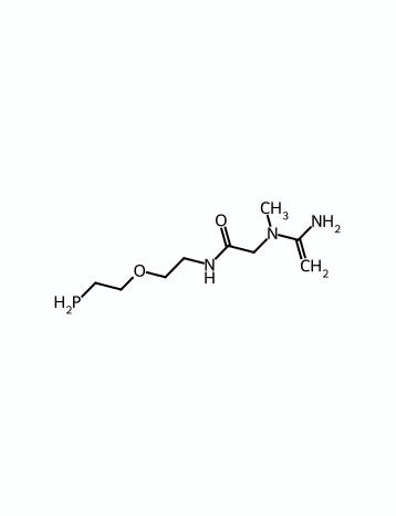 C=C(N)N(C)CC(=O)NCCOCCP